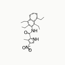 CCc1c(NC(=O)c2[nH]cc([N+](=O)[O-])c2C)c(CC)c2c(CC)cccc2c1CC